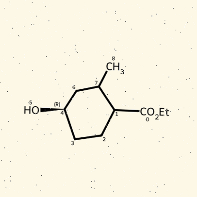 CCOC(=O)C1CC[C@@H](O)CC1C